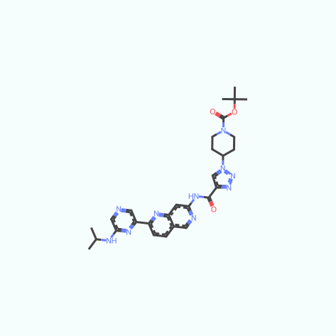 CC(C)Nc1cncc(-c2ccc3cnc(NC(=O)c4cn(C5CCN(C(=O)OC(C)(C)C)CC5)nn4)cc3n2)n1